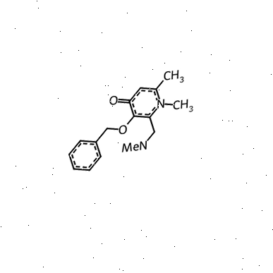 CNCc1c(OCc2ccccc2)c(=O)cc(C)n1C